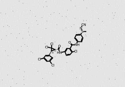 CS(=NC#N)c1ccc(NC(=O)c2cc(NC(=O)[C@@H]3[C@@H](c4cc(Cl)cc(Cl)c4)C3(Cl)Cl)ccc2Cl)cc1